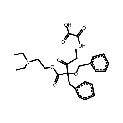 CCC(=O)C(Cc1ccccc1)(OCc1ccccc1)C(=O)OCCN(CC)CC.O=C(O)C(=O)O